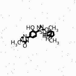 Cn1cnc(-c2ccc(-c3nnc(O[C@H]4[C@H](F)[C@@]5(C)CC[C@]4(C)CN5)s3)c(O)c2)nc1=O